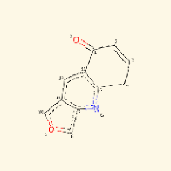 O=C1C=CCc2nc3cocc3cc21